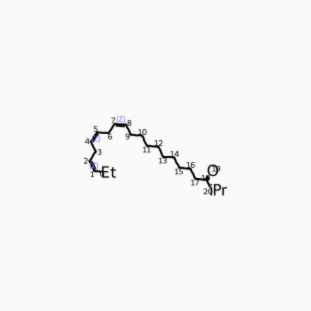 CC/C=C\C/C=C\C/C=C\CCCCCCCCCC(=O)C(C)C